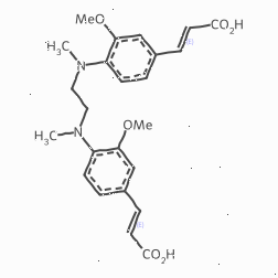 COc1cc(/C=C/C(=O)O)ccc1N(C)CCN(C)c1ccc(/C=C/C(=O)O)cc1OC